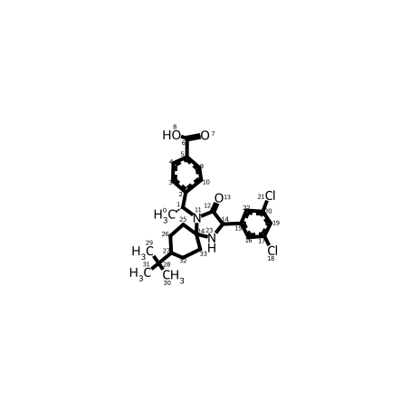 C[C@H](c1ccc(C(=O)O)cc1)N1C(=O)C(c2cc(Cl)cc(Cl)c2)NC12CCC(C(C)(C)C)CC2